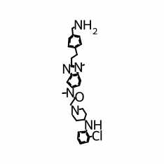 CN(C(=O)CN1CCC(Nc2ccccc2Cl)CC1)c1ccc2c(c1)nc(CCc1ccc(CN)cc1)n2C